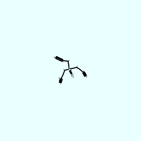 C#CCP(=O)(CC#C)CC#C